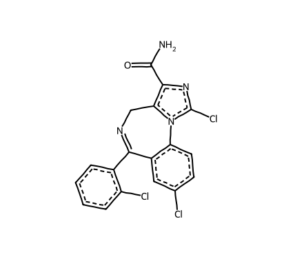 NC(=O)c1nc(Cl)n2c1CN=C(c1ccccc1Cl)c1cc(Cl)ccc1-2